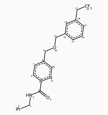 CC(C)CNC(=O)c1ccc(COCc2cccc(CC(F)(F)F)c2)cn1